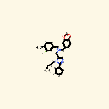 CCCCn1c(CN(Cc2ccc(C)c(F)c2)Cc2ccc3c(c2)OCO3)cnc1-c1ccccc1